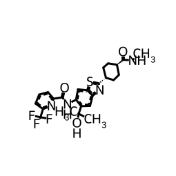 CNC(=O)[C@H]1CC[C@H](c2nc3cc(C(C)(C)O)c(NC(=O)c4cccc(C(F)(F)F)n4)cc3s2)CC1